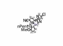 CCCCCOc1c(/C=C/c2nc3cc(Cl)cnc3n2-c2ccc(C#N)cn2)cccc1OC